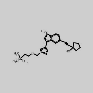 Cn1cc(-c2cnn(COCC[Si](C)(C)C)c2)c2cc(C#CC3(O)CCCC3)ncc21